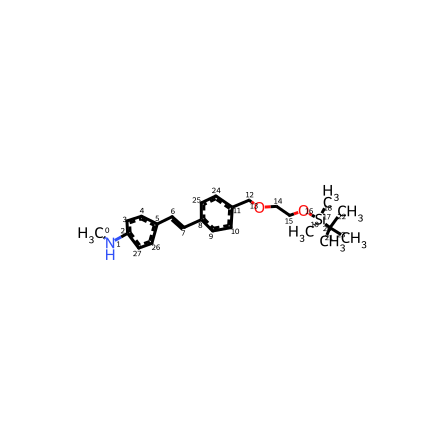 CNc1ccc(/C=C/c2ccc(COCCO[Si](C)(C)C(C)(C)C)cc2)cc1